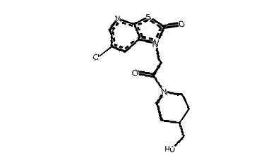 O=C(Cn1c(=O)sc2ncc(Cl)cc21)N1CCC(CO)CC1